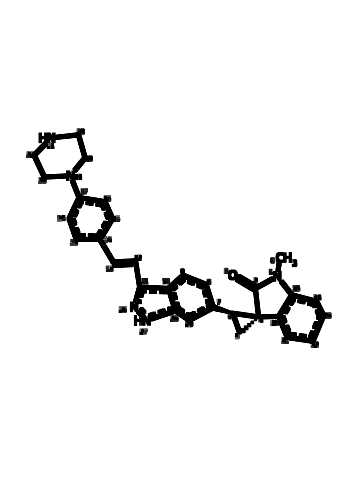 CN1C(=O)[C@@]2(C[C@H]2c2ccc3c(/C=C/c4ccc(N5CCNCC5)cc4)n[nH]c3c2)c2ccccc21